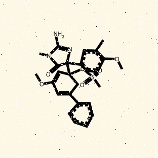 COC1=CC(OS(C)(=O)=O)(C2(c3ccc(OC)c(C)c3)N=C(N)N(C)C2=O)CC(c2ccccc2)=C1